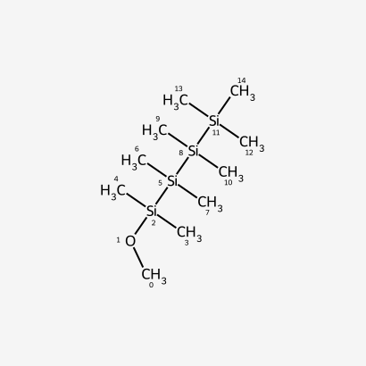 CO[Si](C)(C)[Si](C)(C)[Si](C)(C)[Si](C)(C)C